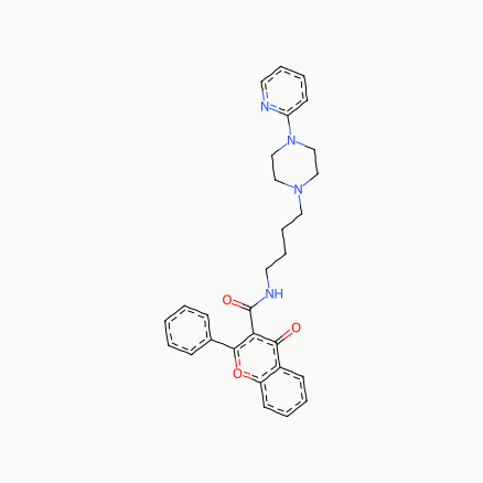 O=C(NCCCCN1CCN(c2ccccn2)CC1)c1c(-c2ccccc2)oc2ccccc2c1=O